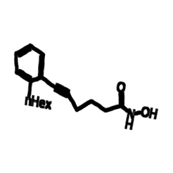 CCCCCCc1ccccc1C#CCCCC(=O)NO